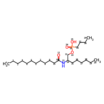 CCCCCCCCCCCC(=O)NC(CCCCCC)COP(=O)(O)CCCC